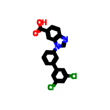 O=C(O)c1ccc2ncn(-c3cccc(-c4cc(Cl)cc(Cl)c4)c3)c2c1